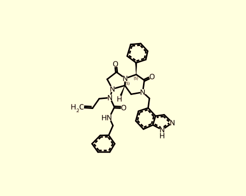 C=CCN(C(=O)NCc1ccccc1)N1CC(=O)N2[C@@H](c3ccccc3)C(=O)N(Cc3cccc4[nH]ncc34)C[C@@H]21